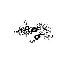 CC(C)(CO)NCC(=O)c1ccccc1.CCC(NC(C)(C)CO)C(=O)c1ccc(N)cc1.Cc1cc(C)c(C(N)=O)c(C(=O)C(C)NC(C)(C)CO)c1